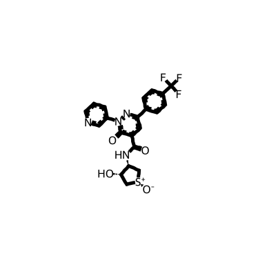 O=C(N[C@@H]1C[S@@+]([O-])C[C@@H]1O)c1cc(-c2ccc(C(F)(F)F)cc2)nn(-c2cccnc2)c1=O